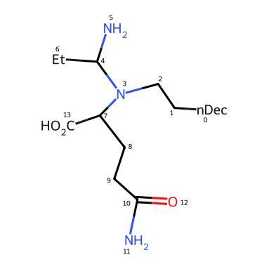 CCCCCCCCCCCCN(C(N)CC)C(CCC(N)=O)C(=O)O